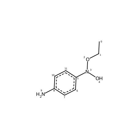 CCON(O)c1ccc(N)cc1